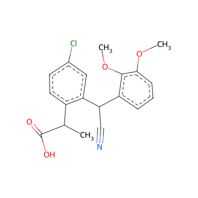 COc1cccc(C(C#N)c2cc(Cl)ccc2C(C)C(=O)O)c1OC